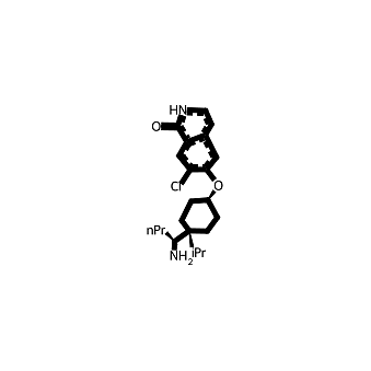 CCC[C@H](N)[C@]1(C(C)C)CC[C@@H](Oc2cc3cc[nH]c(=O)c3cc2Cl)CC1